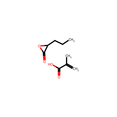 C=C(C)C(=O)O.CCCC1OC1=O